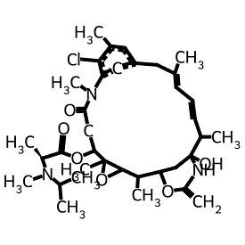 C=C1NC2(O)CC(O1)C(C)C1OC1(C)C(OC(=O)[C@H](C)N(C)C(C)C)CC(=O)N(C)c1cc(cc(C)c1Cl)C/C(C)=C/C=C/C2C